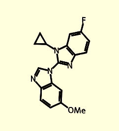 COc1ccc2ncn(-c3nc4ccc(F)cc4n3C3CC3)c2c1